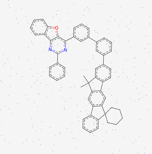 CC1(C)c2cc(-c3cccc(-c4cccc(-c5nc(-c6ccccc6)nc6c5oc5ccccc56)c4)c3)ccc2-c2cc3c(cc21)-c1ccccc1C31CCCCC1